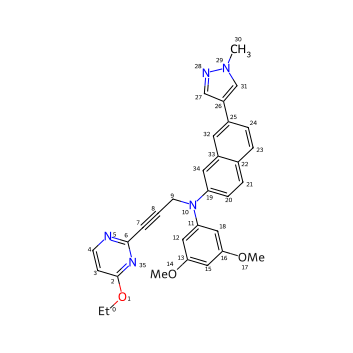 CCOc1ccnc(C#CCN(c2cc(OC)cc(OC)c2)c2ccc3ccc(-c4cnn(C)c4)cc3c2)n1